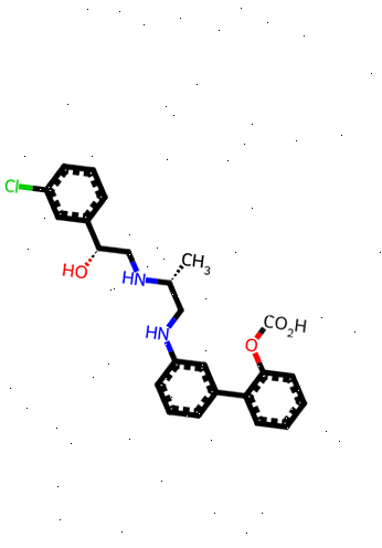 C[C@H](CNc1cccc(-c2ccccc2OC(=O)O)c1)NC[C@H](O)c1cccc(Cl)c1